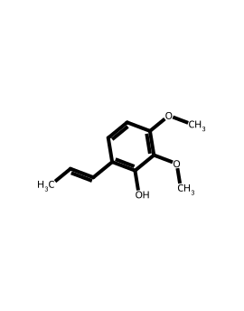 C/C=C/c1ccc(OC)c(OC)c1O